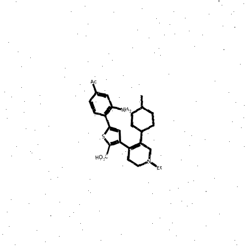 CCN1CCC(c2cc(-c3ccc(C(C)=O)cc3N)sc2C(=O)O)=C(C2CCC(C)CC2)C1